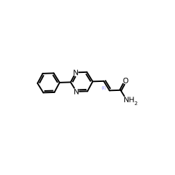 NC(=O)/C=C/c1cnc(-c2ccccc2)nc1